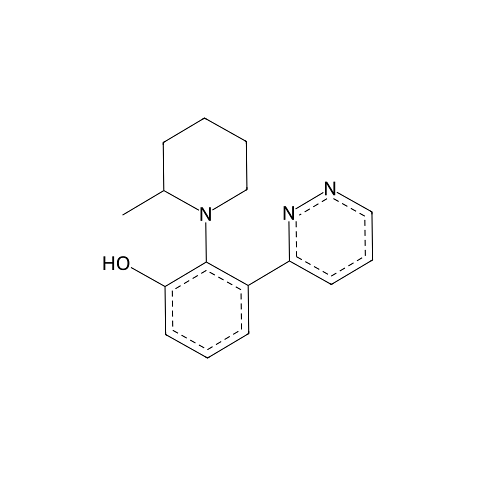 CC1CCCCN1c1c(O)cccc1-c1cccnn1